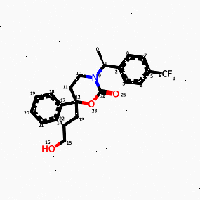 C[C@@H](c1ccc(C(F)(F)F)cc1)N1CCC(CCCO)(c2ccccc2)OC1=O